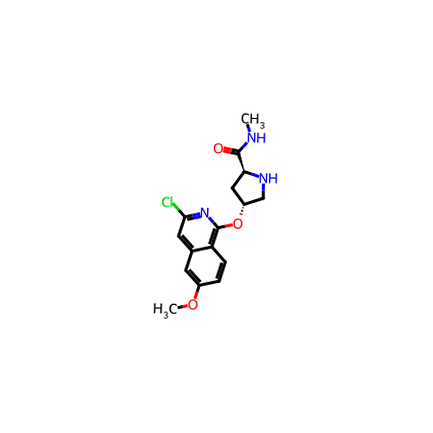 CNC(=O)[C@@H]1C[C@@H](Oc2nc(Cl)cc3cc(OC)ccc23)CN1